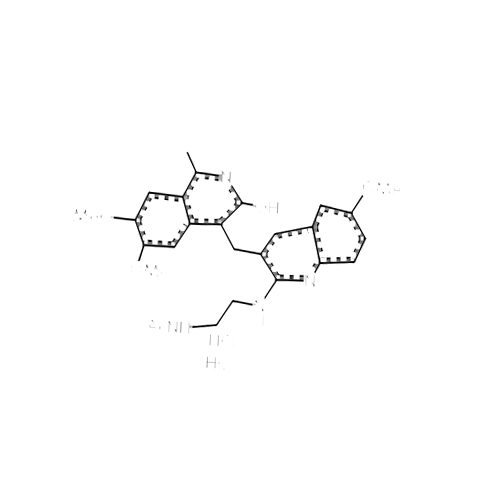 COc1ccc2nc(NCCNC(C)=O)c(Cc3c(O)nc(C)c4cc(OC)c(OC)cc34)cc2c1.Cl.Cl